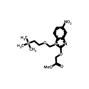 COC(=O)COc1nc2cc([N+](=O)[O-])ccc2n1COCC[Si](C)(C)C